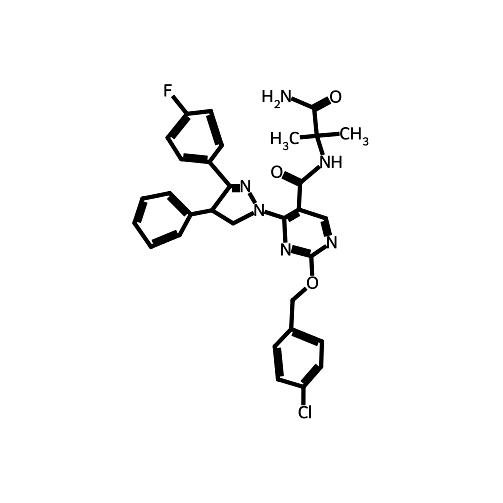 CC(C)(NC(=O)c1cnc(OCc2ccc(Cl)cc2)nc1N1CC(c2ccccc2)C(c2ccc(F)cc2)=N1)C(N)=O